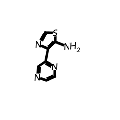 Nc1scnc1-c1cnccn1